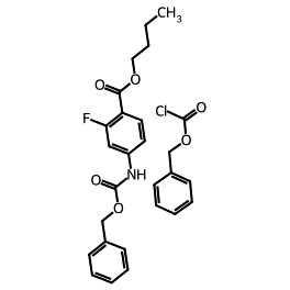 CCCCOC(=O)c1ccc(NC(=O)OCc2ccccc2)cc1F.O=C(Cl)OCc1ccccc1